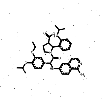 CCOc1cc(C(Nc2ccc3c(N)nccc3c2)C(=O)N2CCC(C(=O)O)C2c2ccccc2SC(C)C)ccc1OC(C)C